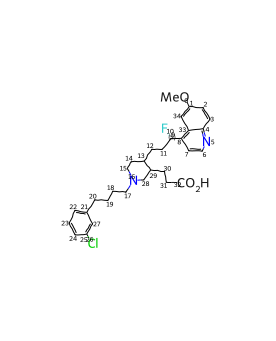 COc1ccc2nccc([C@@H](F)CCC3CCN(CCCCc4cccc(Cl)c4)CC3CCC(=O)O)c2c1